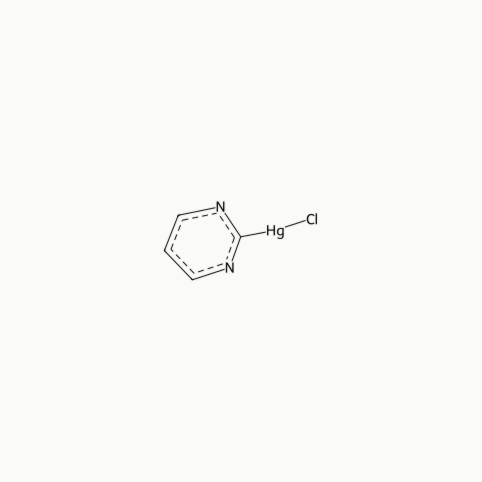 [Cl][Hg][c]1ncccn1